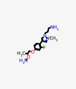 CC(COc1ccc(-c2cn(CCCN)[n+](C)c2)c(F)c1)ON